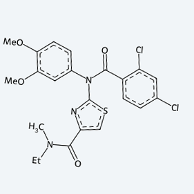 CCN(C)C(=O)c1csc(N(C(=O)c2ccc(Cl)cc2Cl)c2ccc(OC)c(OC)c2)n1